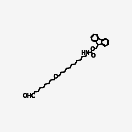 O=CCCCCCCCCOCCCCCCCCCCCNC(=O)OCC1c2ccccc2-c2ccccc21